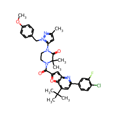 COc1ccc(Cn2nc(C)cc2N2CCN(C(=O)c3cc4nc(-c5ccc(Cl)c(F)c5)cc(C(C)(C)C)c4o3)C(C)(C)C2=O)cc1